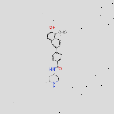 O=Cc1c(O)ccc2cc(-c3ccc(C(=O)NC4CCNCC4)cc3)ccc12